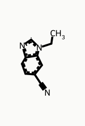 CCn1[c]nc2ccc(C#N)cc21